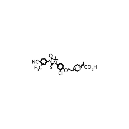 C[C@H](C(=O)O)N1CCN(CCOc2ccc(N3C(=S)N(c4ccc(C#N)c(C(F)(F)F)c4)C(=O)C3(C)C)cc2Cl)CC1